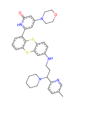 Cc1ccc(C(CCNc2ccc3c(c2)Sc2cccc(-c4cc(N5CCOCC5)cc(=O)[nH]4)c2S3)N2CCCCC2)nc1